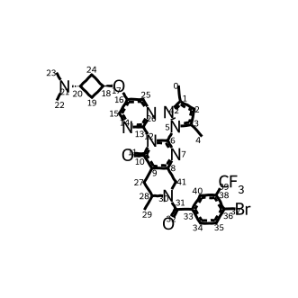 Cc1cc(C)n(-c2nc3c(c(=O)n2-c2ncc(O[C@H]4C[C@H](N(C)C)C4)cn2)CC(C)N(C(=O)c2ccc(Br)c(C(F)(F)F)c2)C3)n1